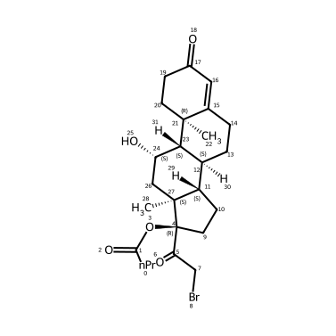 CCCC(=O)O[C@]1(C(=O)CBr)CC[C@H]2[C@@H]3CCC4=CC(=O)CC[C@]4(C)[C@H]3[C@@H](O)C[C@@]21C